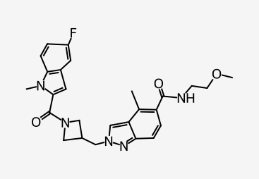 COCCNC(=O)c1ccc2nn(CC3CN(C(=O)c4cc5cc(F)ccc5n4C)C3)cc2c1C